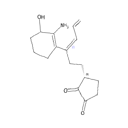 C=C/C=C(/CC[C@@H]1CCC(=O)C1=O)C1=C(N)C(O)CCC1